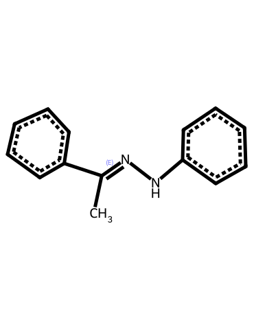 C/C(=N\Nc1ccccc1)c1ccccc1